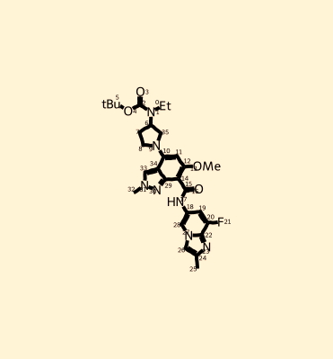 CCN(C(=O)OC(C)(C)C)C1CCN(c2cc(OC)c(C(=O)Nc3cc(F)c4nc(C)cn4c3)c3nn(C)cc23)C1